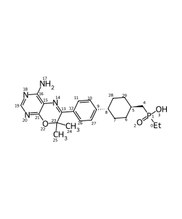 CCP(=O)(O)C[C@H]1CC[C@H](c2ccc(C3=Nc4c(N)ncnc4OC3(C)C)cc2)CC1